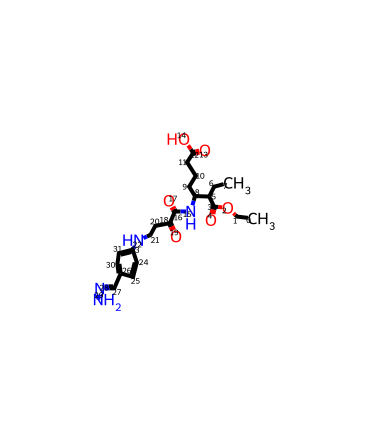 CCOC(=O)C(CC)C(CCCC(=O)O)NC(=O)C(=O)CCNc1ccc(C=NN)cc1